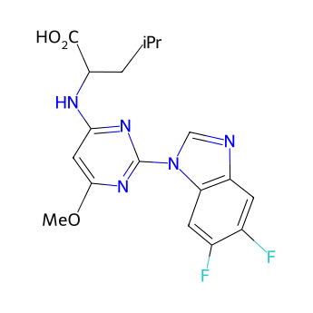 COc1cc(NC(CC(C)C)C(=O)O)nc(-n2cnc3cc(F)c(F)cc32)n1